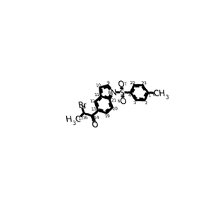 Cc1ccc(S(=O)(=O)n2ccc3cc(C(=O)C(C)Br)ccc32)cc1